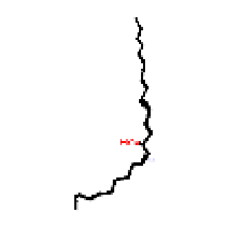 CCCCCCCCC=CCCC(O)/C=C\CCCCCCCC